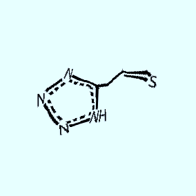 S=[C]c1nnn[nH]1